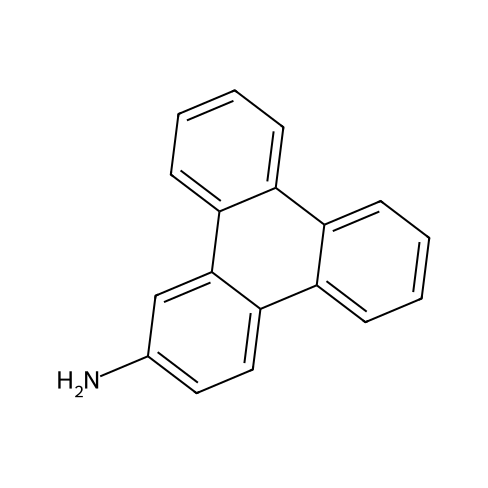 Nc1ccc2c3ccccc3c3ccccc3c2c1